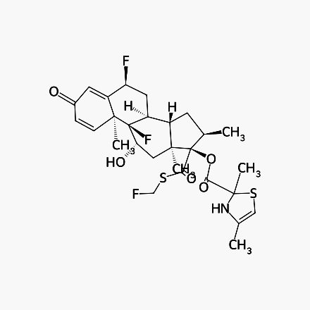 CC1=CSC(C)(C(=O)O[C@]2(C(=O)SCF)[C@H](C)C[C@H]3[C@@H]4C[C@H](F)C5=CC(=O)C=C[C@]5(C)[C@@]4(F)[C@@H](O)C[C@@]32C)N1